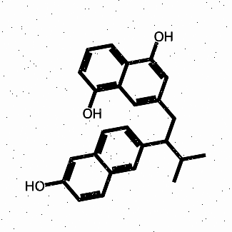 CC(C)C(Cc1cc(O)c2cccc(O)c2c1)c1ccc2cc(O)ccc2c1